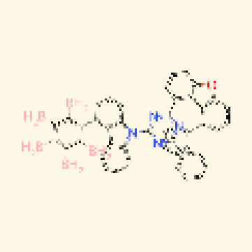 Bc1c(B)c(B)c(-c2cccc3c2c2ccccc2n3-c2nc(-c3ccccc3)nc(-c3cccc4oc5cccc(-c6ccccc6)c5c34)n2)c(B)c1B